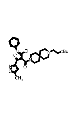 Cc1cc(-c2nn(-c3ccccc3)c(Cl)c2C(=O)N2CCC3(CCN(CCC(C)(C)C)CC3)CC2)no1